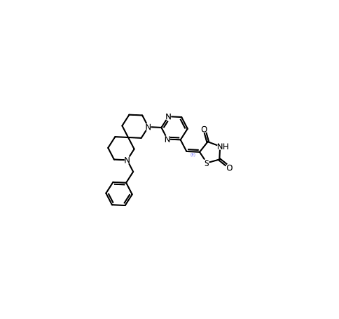 O=C1NC(=O)/C(=C\c2ccnc(N3CCCC4(CCCN(Cc5ccccc5)C4)C3)n2)S1